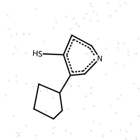 Sc1ccncc1C1CCCC1